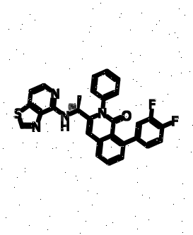 C[C@H](Nc1nccc2scnc12)c1cc2cccc(-c3ccc(F)c(F)c3)c2c(=O)n1-c1ccccc1